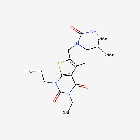 COC(CN(Cc1sc2c(c1C)c(=O)n(CC(C)(C)C)c(=O)n2CCC(F)(F)F)C(N)=O)OC